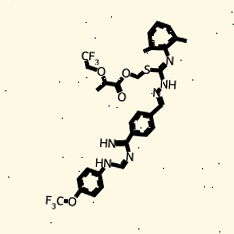 Cc1cccc(C)c1/N=C(/N/N=C/c1ccc(C(=N)/N=C\Nc2ccc(OC(F)(F)F)cc2)cc1)SCOC(=O)C(C)OCC(F)(F)F